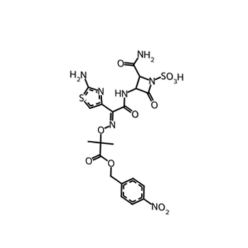 CC(C)(ON=C(C(=O)NC1C(=O)N(S(=O)(=O)O)C1C(N)=O)c1csc(N)n1)C(=O)OCc1ccc([N+](=O)[O-])cc1